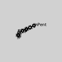 CCCCCC1CCC(C2CCC(c3ccc(C4CCC(C(F)(F)Oc5ccc(C)c(F)c5)CC4)c(F)c3)CC2)CC1